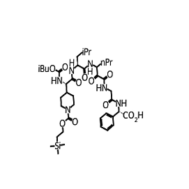 CCCC(NC(=O)[C@H](CC(C)C)NC(=O)[C@@H](NC(=O)OCC(C)C)C1CCN(C(=O)OCC[Si](C)(C)C)CC1)C(=O)C(=O)NCC(=O)N[C@H](C(=O)O)c1ccccc1